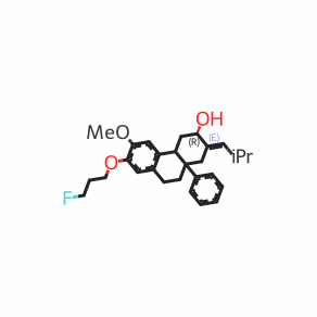 COc1cc2c(cc1OCCCF)CCC1(c3ccccc3)C/C(=C\C(C)C)[C@H](O)CC21